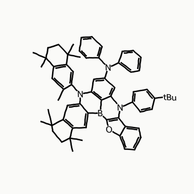 Cc1cc2c(cc1N1c3cc4c(cc3B3c5oc6ccccc6c5N(c5ccc(C(C)(C)C)cc5)c5cc(N(c6ccccc6)c6ccccc6)cc1c53)C(C)(C)CCC4(C)C)C(C)(C)CCC2(C)C